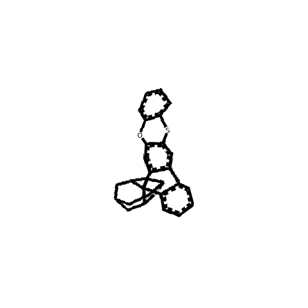 c1ccc2c(c1)Oc1cc3c(cc1S2)-c1ccccc1C31C2CC3CCC(C2)CC1C3